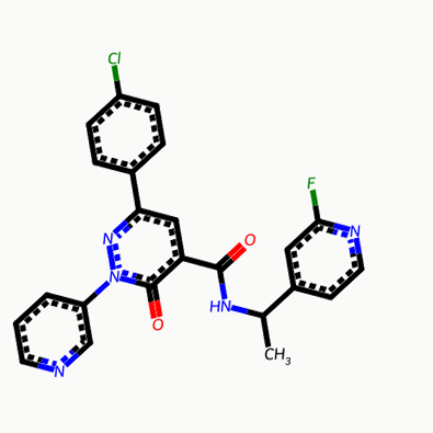 CC(NC(=O)c1cc(-c2ccc(Cl)cc2)nn(-c2cccnc2)c1=O)c1ccnc(F)c1